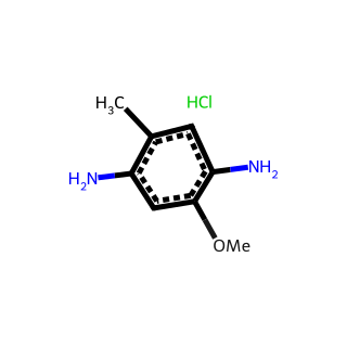 COc1cc(N)c(C)cc1N.Cl